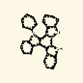 c1ccc(-n2c3ccccc3c3c4c5ccccc5[nH]c4c4oc5ccccc5c4c32)cc1